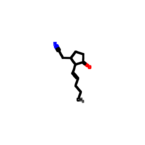 CCCC=CC1C(=O)CCC1CC#N